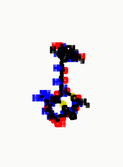 CC(=O)[C@@H]1CSCC(=O)N[C@@H](CCCCNC(=O)CCCC(=O)NCCC(CCNC(C)(C)/C(C)=N\O)CCNC(C)(C)/C(C)=N\O)C(=O)N[C@H]2CSSC[C@H](NC(=O)[C@H](CC(=O)O)NC(=O)CNC(=O)[C@H](CCCNC(=N)N)NC2=O)C(=O)N[C@@H](Cc2ccccc2)C(=O)N1